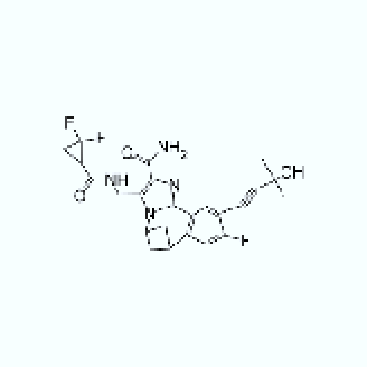 CC(C)(O)C#Cc1cc2c(cc1F)C1CC(C1)n1c-2nc(C(N)=O)c1CNC(=O)C1CC1(F)F